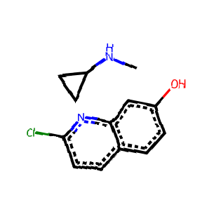 CNC1CC1.Oc1ccc2ccc(Cl)nc2c1